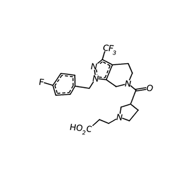 O=C(O)CCN1CCC(C(=O)N2CCc3c(C(F)(F)F)nn(Cc4ccc(F)cc4)c3C2)C1